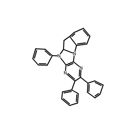 c1ccc(-c2nc3c(nc2-c2ccccc2)N2c4ccccc4CC2N3c2ccccc2)cc1